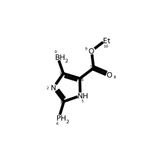 Bc1nc(P)[nH]c1C(=O)OCC